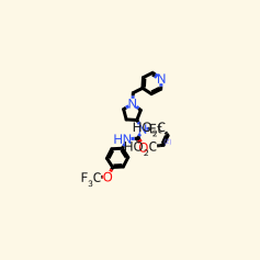 CCN(C(=O)Nc1ccc(OC(F)(F)F)cc1)C1CCN(Cc2ccncc2)C1.O=C(O)/C=C\C(=O)O